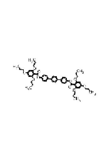 CCCOc1cc(OCCC)c(C(=O)Oc2ccc(-c3ccc(-c4ccc(OC(=O)c5c(OCCC)cc(OCCC)cc5OCCC)cc4)cc3)cc2)c(OCCC)c1